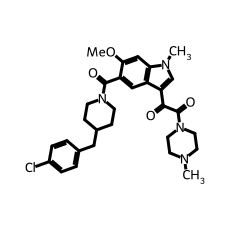 COc1cc2c(cc1C(=O)N1CCC(Cc3ccc(Cl)cc3)CC1)c(C(=O)C(=O)N1CCN(C)CC1)cn2C